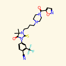 CC1(C)C(=O)N(c2ccc(C#N)c(C(F)(F)F)c2)C(=S)N1CCCCN1CCN(C(=O)c2ccno2)CC1